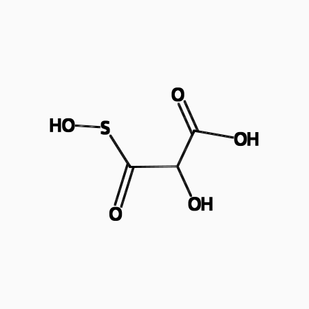 O=C(O)C(O)C(=O)SO